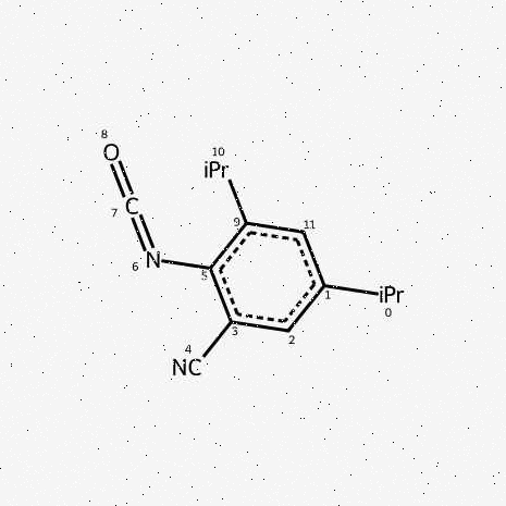 CC(C)c1cc(C#N)c(N=C=O)c(C(C)C)c1